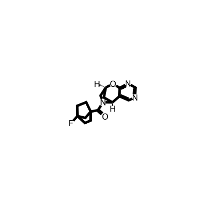 O=C(N1C[C@@H]2C[C@H]1c1cncnc1O2)C12CCC(F)(CC1)C2